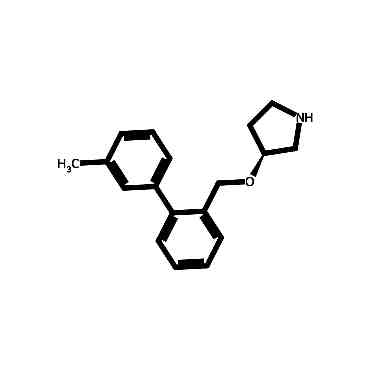 Cc1cccc(-c2ccccc2CO[C@H]2CCNC2)c1